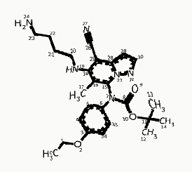 CCOc1ccc(N(C(=O)OC(C)(C)C)c2c(C)c(NCCCCN)c(C#N)c3ccnn23)cc1